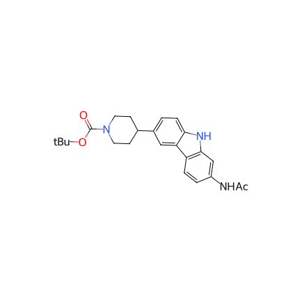 CC(=O)Nc1ccc2c(c1)[nH]c1ccc(C3CCN(C(=O)OC(C)(C)C)CC3)cc12